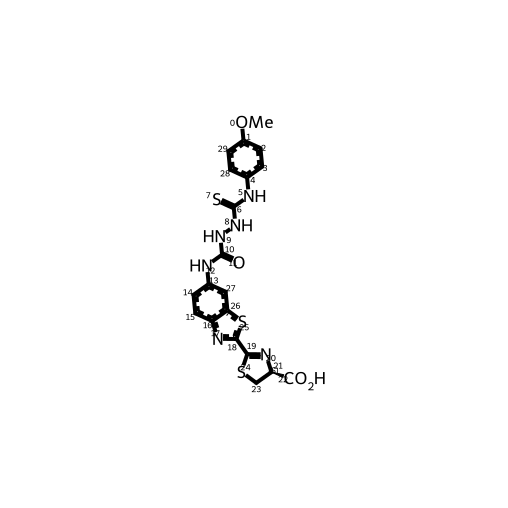 COc1ccc(NC(=S)NNC(=O)Nc2ccc3nc(C4=N[C@@H](C(=O)O)CS4)sc3c2)cc1